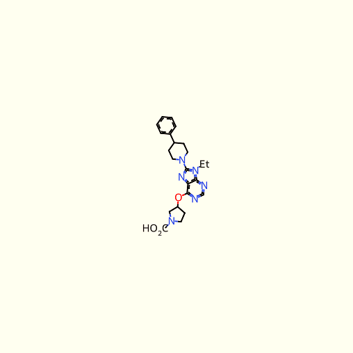 CCn1c(N2CCC(c3ccccc3)CC2)nc2c(OC3CCN(C(=O)O)C3)ncnc21